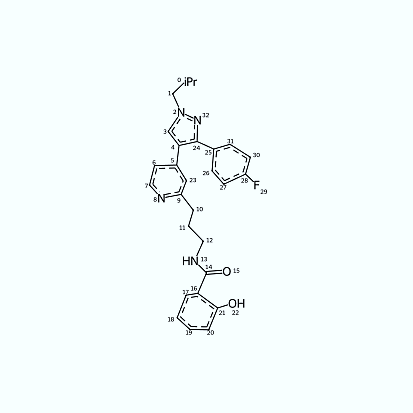 CC(C)Cn1cc(-c2ccnc(CCCNC(=O)c3ccccc3O)c2)c(-c2ccc(F)cc2)n1